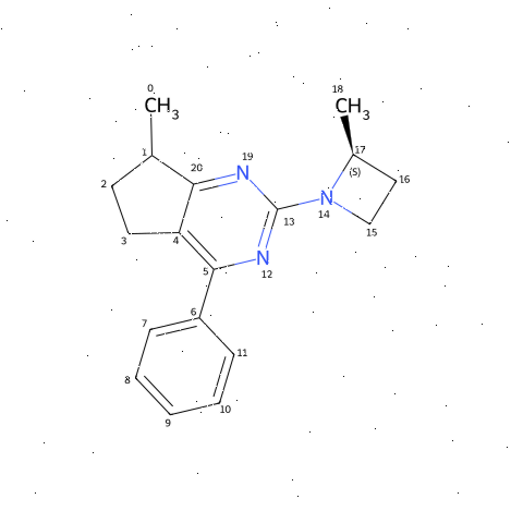 CC1CCc2c(-c3ccccc3)nc(N3CC[C@@H]3C)nc21